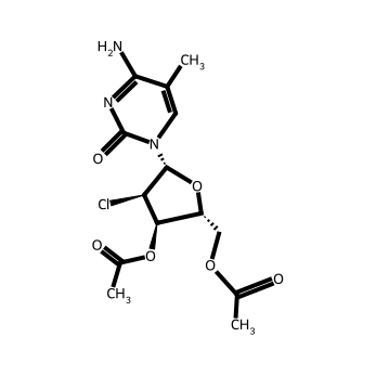 CC(=O)OC[C@H]1O[C@@H](n2cc(C)c(N)nc2=O)[C@H](Cl)[C@@H]1OC(C)=O